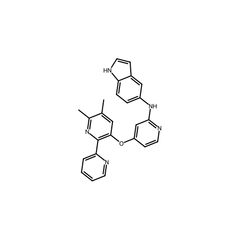 Cc1cc(Oc2ccnc(Nc3ccc4[nH]ccc4c3)c2)c(-c2ccccn2)nc1C